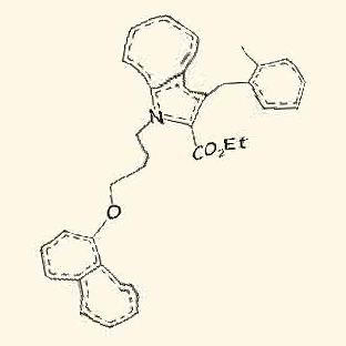 CCOC(=O)c1c(-c2ccccc2C)c2ccccc2n1CCCOc1cccc2ccccc12